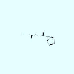 CC(C)COC(=O)COC(=O)C1CC2C=CC1C2